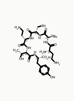 CC[C@H](C)[C@H](NC(=O)[C@@H](N)CCN)C(=O)N[C@@H](CS)C(=O)N[C@@H](CCN)C(=O)N[C@H](C(=O)N[C@@H](Cc1ccc(O)cc1)C(=O)O)[C@@H](C)O